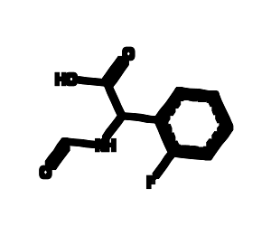 O=CNC(C(=O)O)c1ccccc1F